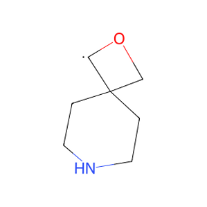 [CH]1OCC12CCNCC2